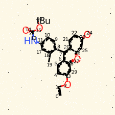 C=COc1ccc2c(-c3ccc(NC(=O)OC(C)(C)C)cc3C)c3ccc(=O)cc-3oc2c1